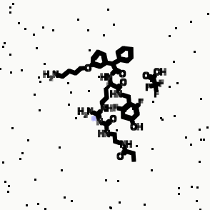 CCC(=O)NCCNC(=O)/N=C(/N)NCCC[C@@H](NC(=O)C(c1ccccc1)c1cccc(OCCCCN)c1)C(=O)NCc1c(F)cc(O)cc1F.O=C(O)C(F)(F)F